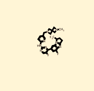 CN1CC2(C1)CN(Cc1ccc(Nc3ncc(F)c(-c4cc(F)c5nc6n(c5c4)C(C(F)(F)F)CC6)n3)nc1)C2